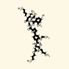 CCCCC[C@@H](C(=O)NCNC(=O)c1ccc(-c2ccc(C(=O)N[C@@H](CC(=O)OCCCC)C(=O)OCCCC)c(OCC)c2)o1)[C@@H](CC)N(C=O)OC(=O)c1ccc(CF)cc1C